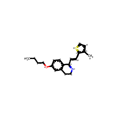 CCCCOc1ccc2c(c1)CCN=C2C=Cc1sccc1C